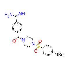 CC(C)(C)c1ccc(S(=O)(=O)N2CCN(C(=O)c3ccc(C(=N)N)cc3)CC2)cc1